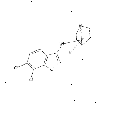 Clc1ccc2c(N[C@H]3CN4CCC3CC4)noc2c1Cl